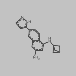 Nc1cc(NC23CC(C2)C3)c2ccc(-c3ccn[nH]3)cc2n1